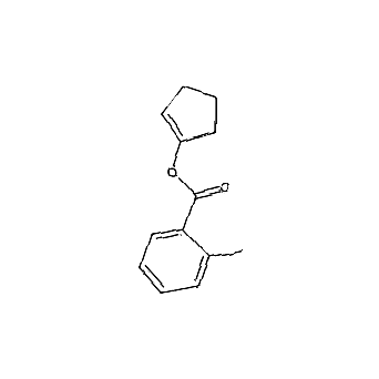 Cc1ccccc1C(=O)OC1=CCCC1